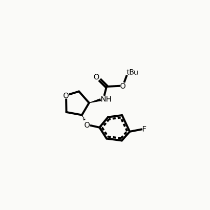 CC(C)(C)OC(=O)N[C@@H]1COC[C@H]1Oc1ccc(F)cc1